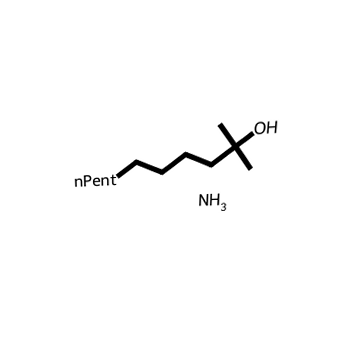 CCCCCCCCCC(C)(C)O.N